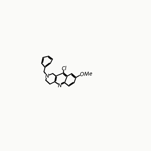 COc1ccc2nc3c(c(Cl)c2c1)CN(Cc1ccccc1)CC3